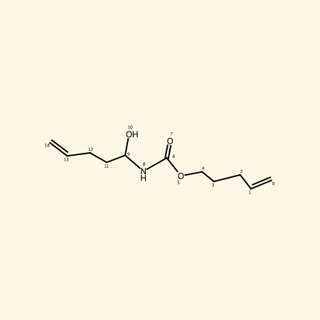 C=CCCCOC(=O)NC(O)CCC=C